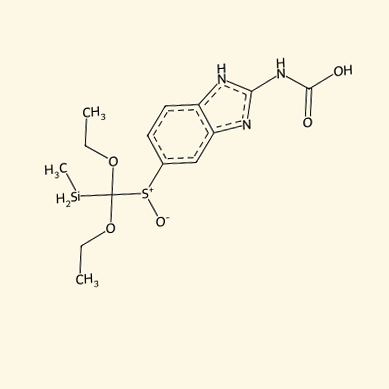 CCOC(OCC)([SiH2]C)[S+]([O-])c1ccc2[nH]c(NC(=O)O)nc2c1